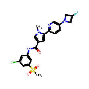 Cn1cc(C(=O)Nc2cc(Cl)cc(S(C)(=O)=O)c2)cc1-c1ccc(N2CC(F)C2)cn1